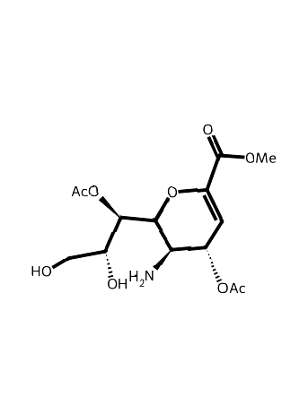 COC(=O)C1=C[C@H](OC(C)=O)[C@@H](N)C([C@H](OC(C)=O)[C@H](O)CO)O1